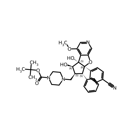 COc1cncc2c1[C@]1(O)[C@H](O)[C@H](CN3CCN(C(=O)OC(C)(C)C)CC3)[C@@H](c3ccccc3)[C@]1(c1ccc(C#N)cc1)O2